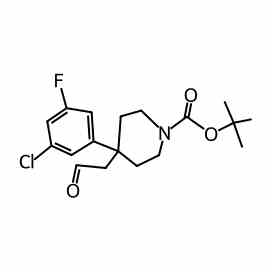 CC(C)(C)OC(=O)N1CCC(CC=O)(c2cc(F)cc(Cl)c2)CC1